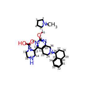 CN1CCC[C@H]1COc1nc2c(c(C3CNCCN3C(=O)O)n1)CCN(C1CCCc3ccccc31)C2